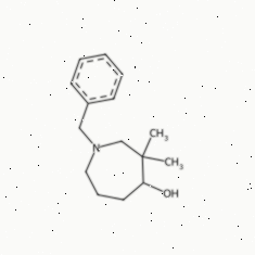 CC1(C)CN(Cc2ccccc2)CCCC1O